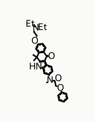 CCN(CC)CCOc1ccc2c(c1)C(C)(C)c1[nH]c3cc(N(C)C(=O)COc4ccccc4)ccc3c1C2=O